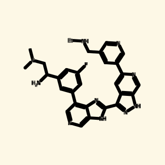 CCNCc1cncc(-c2cc3c(-c4nc5c(-c6cc(F)cc(C(N)CN(C)C)c6)cncc5[nH]4)n[nH]c3cn2)c1